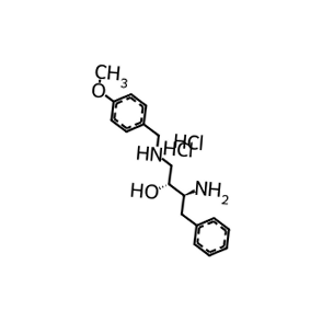 COc1ccc(CNC[C@@H](O)[C@@H](N)Cc2ccccc2)cc1.Cl.Cl